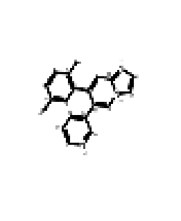 Cc1ccc(F)cc1-c1cc2nccn2cc1-c1cccnc1